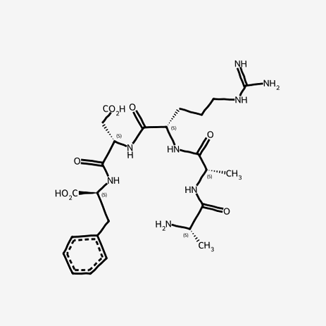 C[C@H](N)C(=O)N[C@@H](C)C(=O)N[C@@H](CCCNC(=N)N)C(=O)N[C@@H](CC(=O)O)C(=O)N[C@@H](Cc1ccccc1)C(=O)O